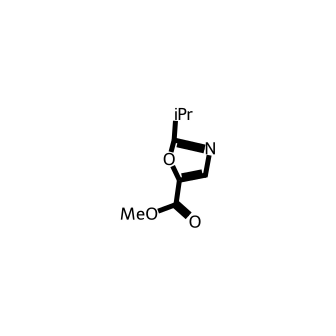 COC(=O)c1cnc(C(C)C)o1